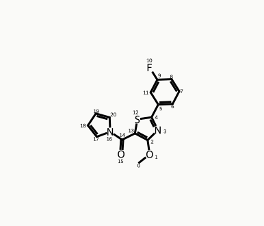 COc1nc(-c2cccc(F)c2)sc1C(=O)n1cccc1